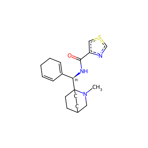 CN1CC2CCC1([C@H](NC(=O)c1cscn1)C1=CCCC=C1)CC2